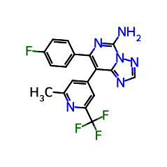 Cc1cc(-c2c(-c3ccc(F)cc3)nc(N)n3ncnc23)cc(C(F)(F)F)n1